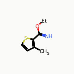 CCOC(=N)c1sccc1C